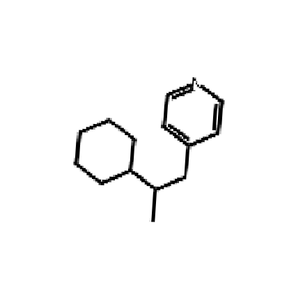 C[C](Cc1ccncc1)C1CCCCC1